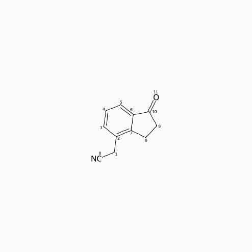 N#CCc1cccc2c1CCC2=O